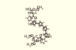 COCC[C@H](NC(=O)O)C(=O)N1CCC[C@H]1c1nc(-c2ccc(-c3ccc(-c4c[nH]c([C@@H]5CCCN5C(=O)[C@H](CCOC)NC(=O)OC)n4)s3)s2)c[nH]1